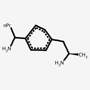 CCCC(N)c1ccc(C[C@@H](C)N)cc1